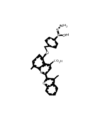 Cc1c(-c2cc(C(=O)O)c3c(OCc4ccc(N(O)SN)cc4)ccc(C)c3n2)oc2ccccc12